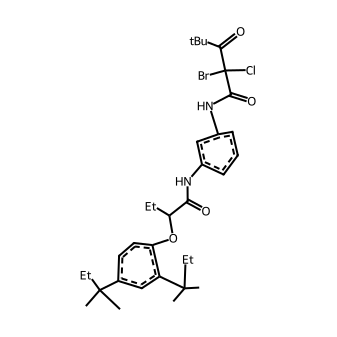 CCC(Oc1ccc(C(C)(C)CC)cc1C(C)(C)CC)C(=O)Nc1cccc(NC(=O)C(Cl)(Br)C(=O)C(C)(C)C)c1